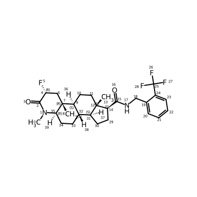 CN1C(=O)[C@H](F)C[C@]2(C)[C@H]3CC[C@]4(C)[C@@H](C(=O)NCc5ccccc5C(F)(F)F)CC[C@H]4[C@@H]3CC[C@@H]12